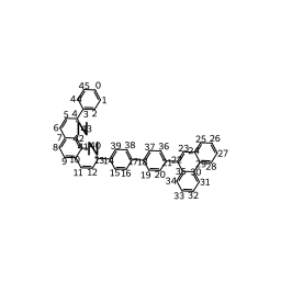 c1ccc(-c2ccc3ccc4ccc(-c5ccc(-c6ccc(-c7cc8ccccc8c8ccccc78)cc6)cc5)nc4c3n2)cc1